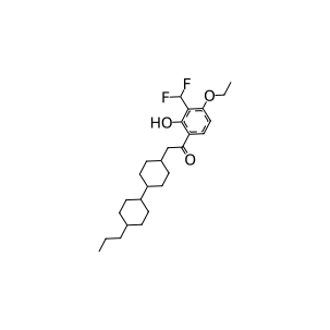 CCCC1CCC(C2CCC(CC(=O)c3ccc(OCC)c(C(F)F)c3O)CC2)CC1